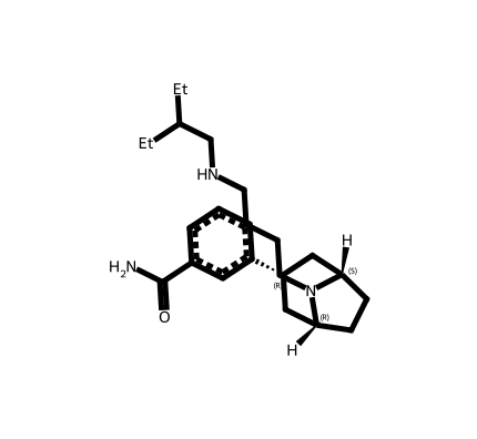 CCC(CC)CNCCCCN1[C@@H]2CC[C@H]1C[C@@H](c1cccc(C(N)=O)c1)C2